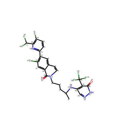 CC(CCCn1ccc2cc(-c3ccc(F)c(C(F)F)n3)c(F)cc2c1=O)Nc1cn[nH]c(=O)c1C(F)(F)F